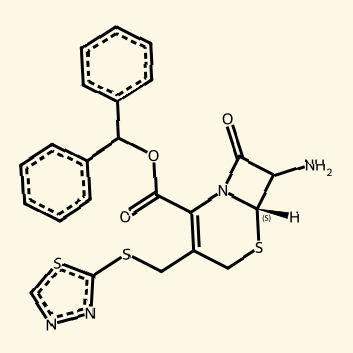 NC1C(=O)N2C(C(=O)OC(c3ccccc3)c3ccccc3)=C(CSc3nncs3)CS[C@@H]12